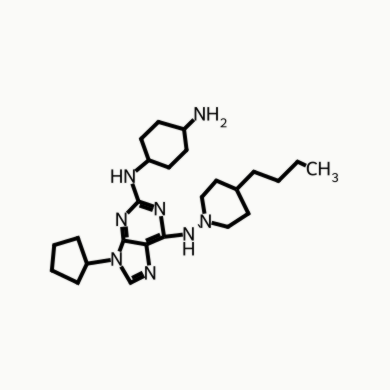 CCCCC1CCN(Nc2nc(NC3CCC(N)CC3)nc3c2ncn3C2CCCC2)CC1